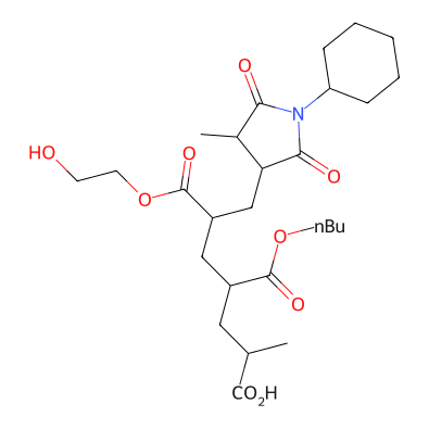 CCCCOC(=O)C(CC(C)C(=O)O)CC(CC1C(=O)N(C2CCCCC2)C(=O)C1C)C(=O)OCCO